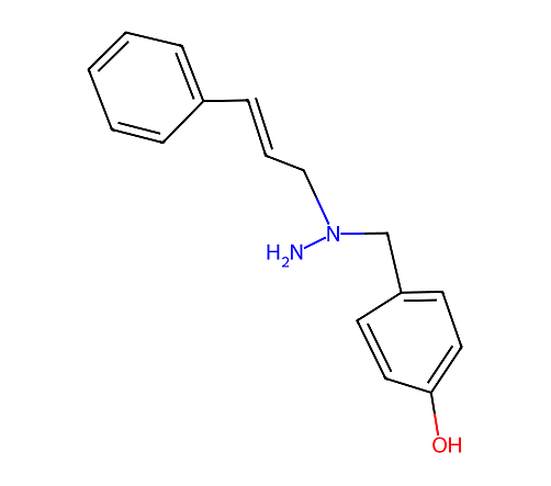 NN(CC=Cc1ccccc1)Cc1ccc(O)cc1